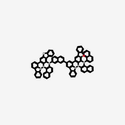 c1ccc2c(N3c4c(ccc5ccccc45)B4c5c(cc6c(oc7ccccc76)c53)-c3cc(-c5ccc6ccc(N7c8ccc9ccccc9c8B8c9c(cc%10oc%11ccccc%11c%10c97)-c7cccc9c%10ccccc%10n8c79)cc6c5)cc5c6ccccc6n4c35)cccc2c1